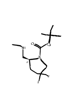 CNC[C@@H]1CC(F)(F)CN1C(=O)OC(C)(C)C